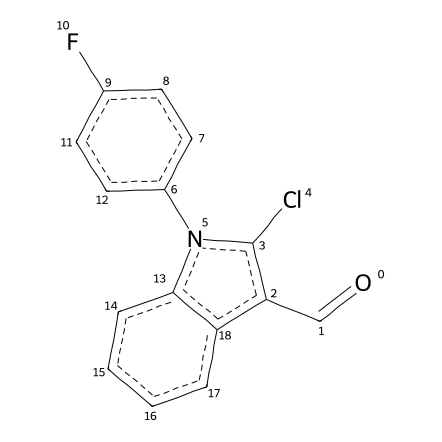 O=Cc1c(Cl)n(-c2ccc(F)cc2)c2ccccc12